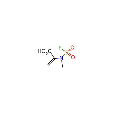 C=C(C(=O)O)N(C)S(=O)(=O)F